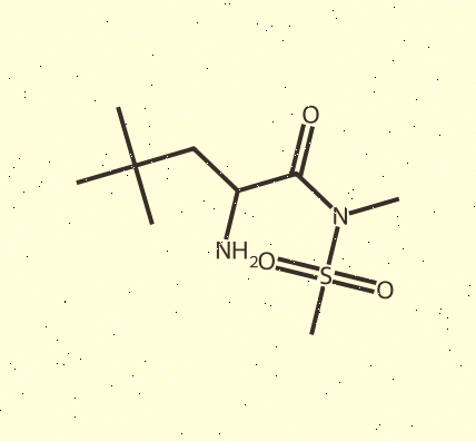 CN(C(=O)C(N)CC(C)(C)C)S(C)(=O)=O